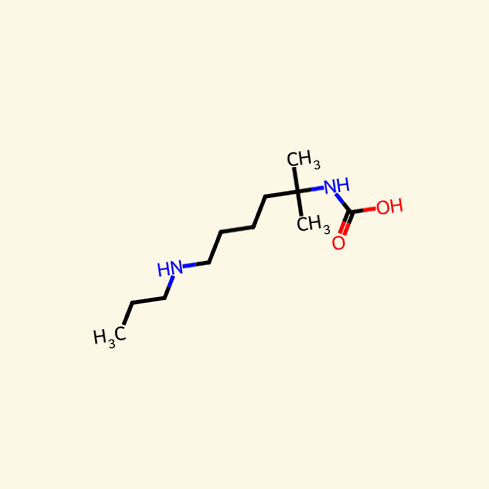 CCCNCCCCC(C)(C)NC(=O)O